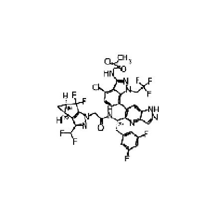 CS(=O)(=O)Nc1nn(CC(F)(F)F)c2c(-c3cc4[nH]ncc4nc3[C@H](Cc3cc(F)cc(F)c3)NC(=O)Cn3nc(C(F)F)c4c3C(F)(F)[C@@H]3C[C@H]43)ccc(Cl)c12